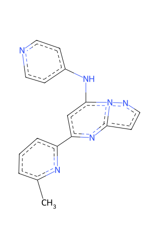 Cc1cccc(-c2cc(Nc3ccncc3)n3nccc3n2)n1